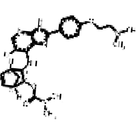 CN(C)CCOc1ccc(-c2nc3c(N[C@H]4[C@@H](OC(=O)N(C)C)[C@@H]5C=C[C@H]4C5)c(Cl)cnc3[nH]2)cc1